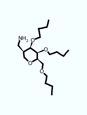 CCCCOC[C@H]1OC[C@@H](CN)[C@@H](OCCCC)[C@H]1OCCCC